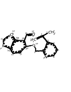 C=C(C)c1cccnc1COc1ccc2ncoc2c1C=O